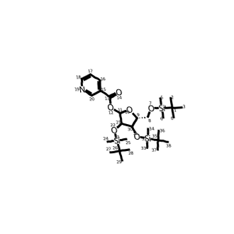 CC(C)(C)[Si](C)(C)OC[C@H]1OC(OC(=O)c2cccnc2)C(O[Si](C)(C)C(C)(C)C)C1O[Si](C)(C)C(C)(C)C